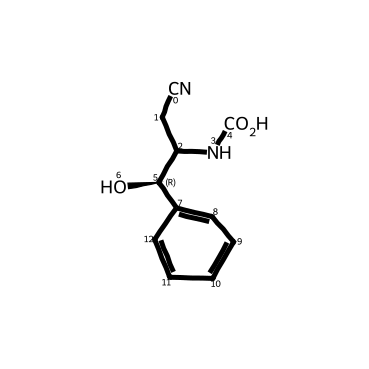 N#CCC(NC(=O)O)[C@H](O)c1ccccc1